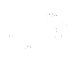 C=C(C)C#CC(SC)N(C)C